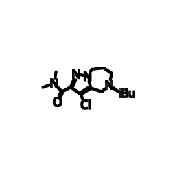 CCC(C)N1CCCn2nc(C(=O)N(C)C)c(Cl)c2C1